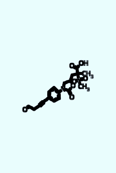 CC(CC1CN(c2ccc(C#CCC=O)cc2)C(=O)O1)(C(=O)O)S(C)(=O)=O